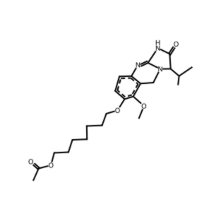 COc1c(OCCCCCCCOC(C)=O)ccc2c1CN1C(=N2)NC(=O)C1C(C)C